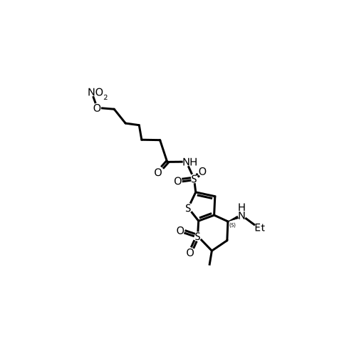 CCN[C@H]1CC(C)S(=O)(=O)c2sc(S(=O)(=O)NC(=O)CCCCCO[N+](=O)[O-])cc21